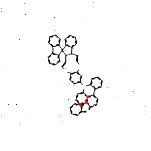 C1=C/C2C(/C=C/Oc3cc(N(c4ccccc4)c4ccccc4-c4ccc5sc6ccccc6c5c4)ccc3O/1)c1ccccc1C21c2ccccc2-c2ccccc21